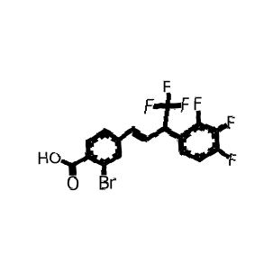 O=C(O)c1ccc(C=CC(c2ccc(F)c(F)c2F)C(F)(F)F)cc1Br